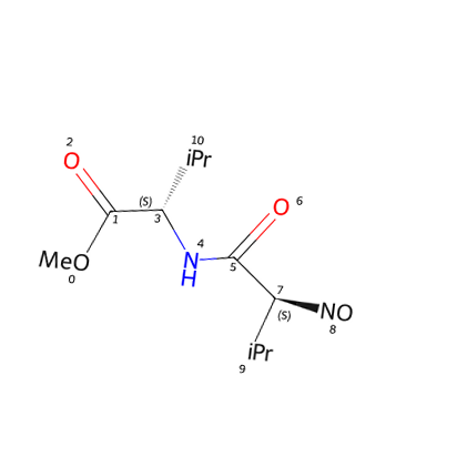 COC(=O)[C@@H](NC(=O)[C@@H](N=O)C(C)C)C(C)C